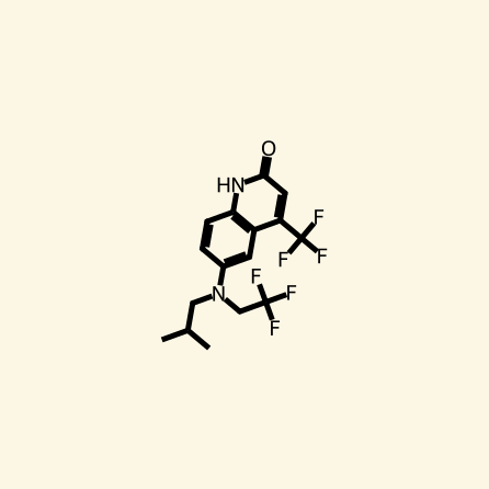 CC(C)CN(CC(F)(F)F)c1ccc2[nH]c(=O)cc(C(F)(F)F)c2c1